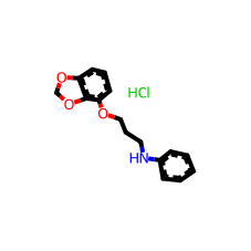 Cl.c1ccc(NCCCOc2cccc3c2OCO3)cc1